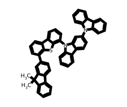 CC1(C)c2ccccc2-c2ccc(-c3cccc4c3sc3c(-n5c6ccccc6c6ccc(-n7c8ccccc8c8ccccc87)cc65)cccc34)cc21